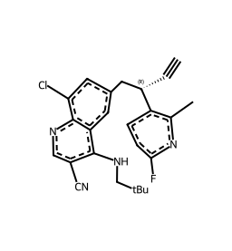 C#C[C@@H](Cc1cc(Cl)c2ncc(C#N)c(NCC(C)(C)C)c2c1)c1ccc(F)nc1C